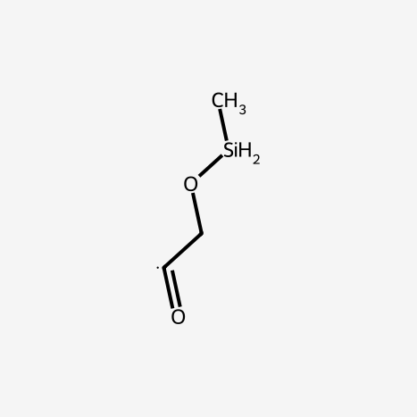 C[SiH2]OC[C]=O